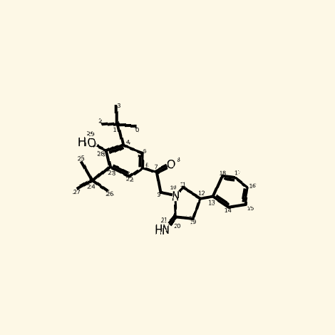 CC(C)(C)c1cc(C(=O)CN2CC(c3ccccc3)CC2=N)cc(C(C)(C)C)c1O